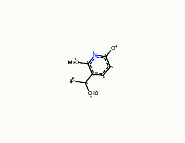 COc1nc(Cl)ccc1C(C=O)C(C)C